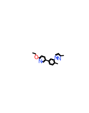 CCOc1ccc(-c2ccc(C)c(-n3ccc(C)n3)c2)cn1